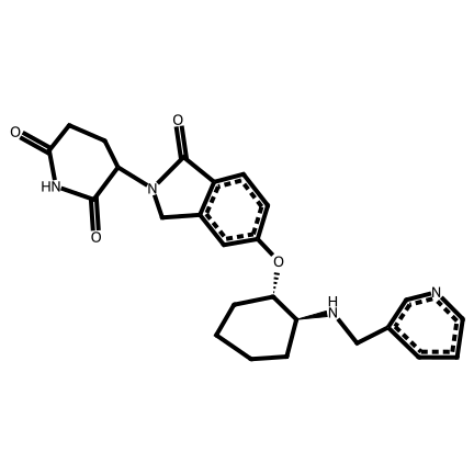 O=C1CCC(N2Cc3cc(O[C@H]4CCCC[C@@H]4NCc4cccnc4)ccc3C2=O)C(=O)N1